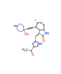 CC(=O)c1c[nH]c(C=C2C(=O)Nc3ccc(F)c(C#CC4(O)CCNCC4)c32)c1